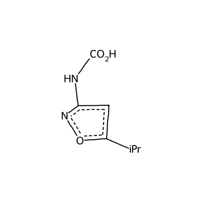 CC(C)c1cc(NC(=O)O)no1